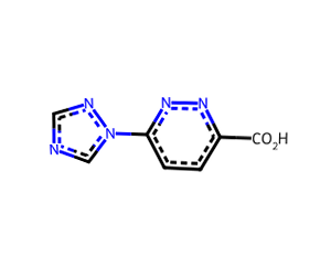 O=C(O)c1ccc(-n2cncn2)nn1